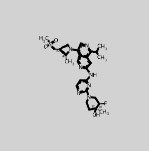 CC(C)c1ncc(N2C[C@H](CS(C)(=O)=O)[C@H]2C)c2cnc(Nc3ccnc(N4CC[C@](C)(O)[C@H](F)C4)n3)cc12